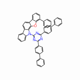 c1ccc(-c2ccc(-c3nc(-c4ccc(-c5ccccc5)cc4)nc(-n4c5ccccc5c5ccc6c7cccc(-c8ccccc8)c7oc6c54)n3)cc2)cc1